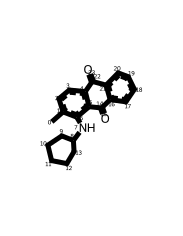 Cc1ccc2c(c1NC1CCCCC1)C(=O)c1ccccc1C2=O